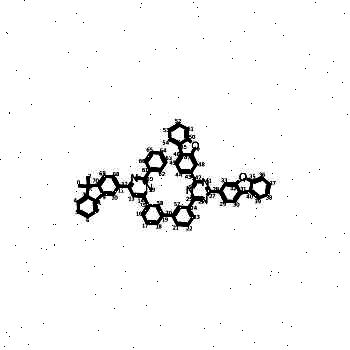 CC1(C)c2ccccc2-c2cc(-c3cc(-c4cccc(-c5cccc(-c6nc(-c7ccc8c(c7)oc7ccccc78)nc(-c7ccc8c(c7)oc7ccccc78)n6)c5)c4)nc(-c4ccccc4)n3)ccc21